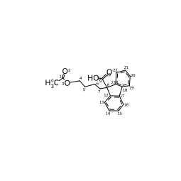 CC(=O)OCCCCC1(C(=O)O)c2ccccc2-c2ccccc21